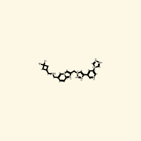 FC1(F)CC(CNCc2ccc3nc(Cn4cc(-c5cncc(-n6cnnc6)c5)nn4)cn3c2)C1